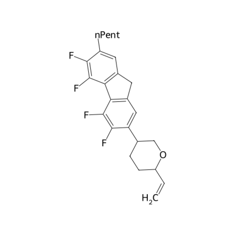 C=CC1CCC(c2cc3c(c(F)c2F)-c2c(cc(CCCCC)c(F)c2F)C3)CO1